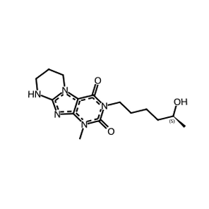 C[C@H](O)CCCCn1c(=O)c2c(nc3n2CCCN3)n(C)c1=O